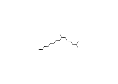 [CH2]C(C)CCCCC(C)CCCCCCCC